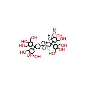 CC1C(C2(c3cc(CO)c(O)c(CO)c3)CCC(C(C)(C)C3CCC(C4=CC(CO)=C(O)C(CO)C4)(c4cc(CO)c(O)c(CO)c4)CC3)CC2)=CC(CO)=C(O)C1CO